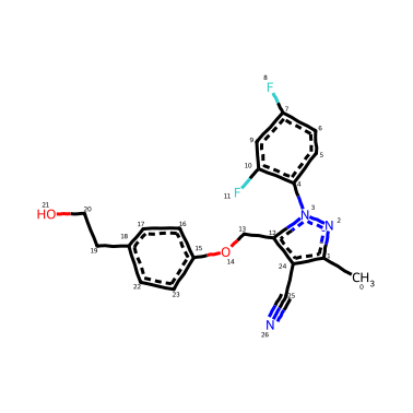 Cc1nn(-c2ccc(F)cc2F)c(COc2ccc(CCO)cc2)c1C#N